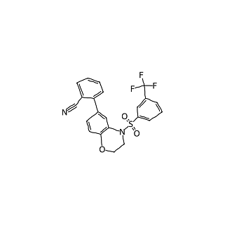 N#Cc1ccccc1-c1ccc2c(c1)N(S(=O)(=O)c1cccc(C(F)(F)F)c1)CCO2